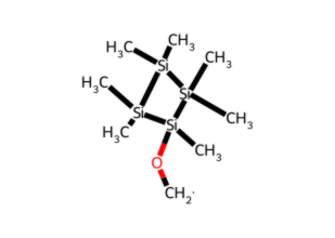 [CH2]O[Si]1(C)[Si](C)(C)[Si](C)(C)[Si]1(C)C